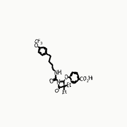 CCC1(CC)C(=O)N(C(=O)NCCCCc2ccc(OC(F)(F)F)cc2)[C@H]1Oc1ccc(C(=O)O)cc1